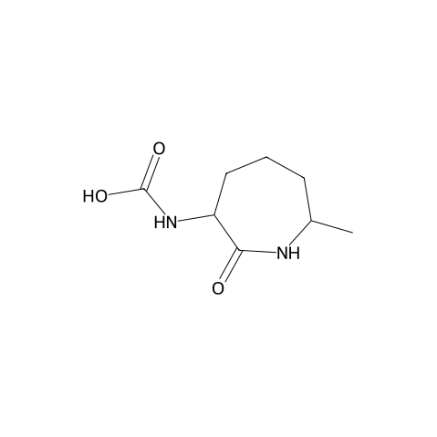 CC1CCCC(NC(=O)O)C(=O)N1